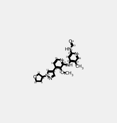 COc1c(-c2cnn(C3CCOC3)c2)ccnc1Nc1cc(NC=O)ncc1C